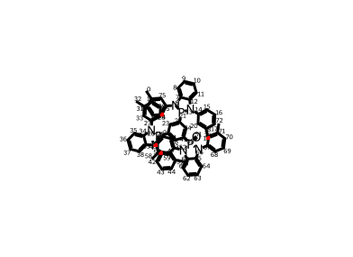 Cc1cccc(N2c3ccccc3N(c3cccc(C)c3)P2c2cc(P3N(c4cccc(C)c4)c4ccccc4N3c3cccc(C)c3)cc(P3(=O)N(c4cccc(C)c4)c4ccccc4N3c3cccc(C)c3)c2)c1